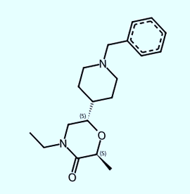 CCN1C[C@H](C2CCN(Cc3ccccc3)CC2)O[C@@H](C)C1=O